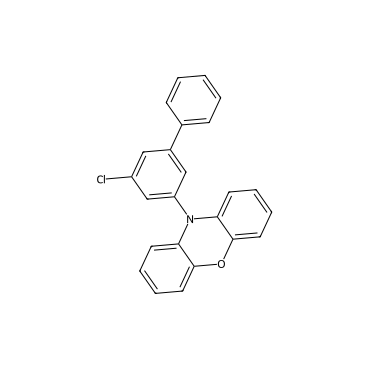 Clc1cc(-c2ccccc2)cc(N2c3ccccc3Oc3ccccc32)c1